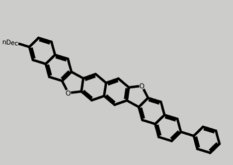 CCCCCCCCCCc1ccc2cc3c(cc2c1)oc1cc2cc4c(cc2cc13)oc1cc2cc(-c3ccccc3)ccc2cc14